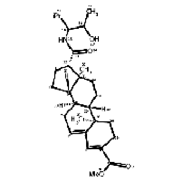 COC(=O)C1=CC2=CC[C@H]3[C@@H]4CC[C@H](C(=O)NC(C(C)C)C(C)O)[C@@]4(C)CC[C@@H]3[C@@]2(C)CC1